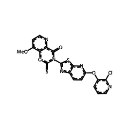 COc1ccnc2c(=O)n(-c3nc4ccc(Oc5cccnc5Cl)nc4s3)c(=S)oc12